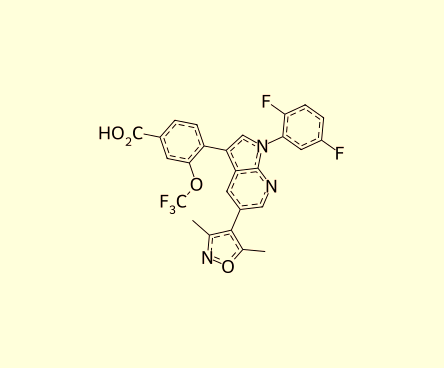 Cc1noc(C)c1-c1cnc2c(c1)c(-c1ccc(C(=O)O)cc1OC(F)(F)F)cn2-c1cc(F)ccc1F